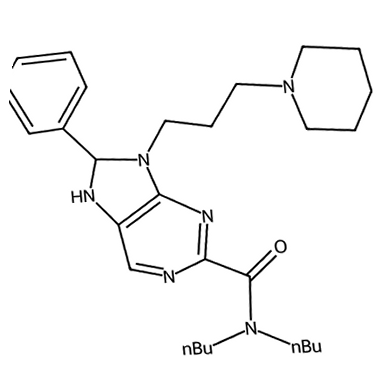 CCCCN(CCCC)C(=O)c1ncc2c(n1)N(CCCN1CCCCC1)C(c1ccccc1)N2